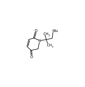 CC(C)(C)CC(C)(C)N1CC(=O)C=CC1=O